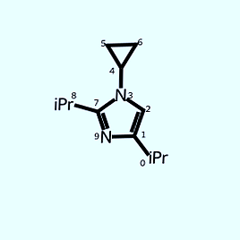 CC(C)c1cn(C2CC2)c(C(C)C)n1